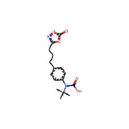 CC(C)(C)N(C(=O)O)c1ccc(CCCc2noc(=O)o2)cc1